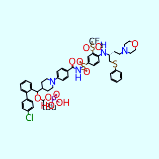 CC(C)(C)C(OC(c1ccccc1-c1ccc(Cl)cc1)C1CCN(c2ccc(C(=O)NS(=O)(=O)c3ccc(N[C@H](CCN4CCOCC4)CSc4ccccc4)c(S(=O)(=O)C(F)(F)F)c3)cc2)CC1)OP(=O)(O)O